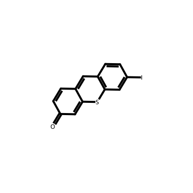 O=c1ccc2cc3ccc(I)cc3sc-2c1